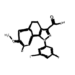 COc1cc2c(cc1Br)-c1c(c(C(=O)O)nn1-c1cc(F)cc(F)c1)CC2